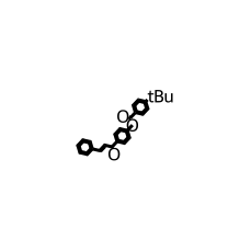 CC(C)(C)c1ccc(C(=O)Oc2ccc(C(=O)C=Cc3ccccc3)cc2)cc1